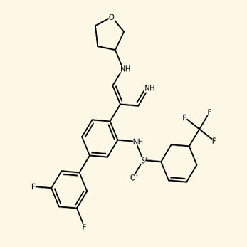 N=C/C(=C\NC1CCOC1)c1ccc(-c2cc(F)cc(F)c2)cc1N[S+]([O-])C1C=CCC(C(F)(F)F)C1